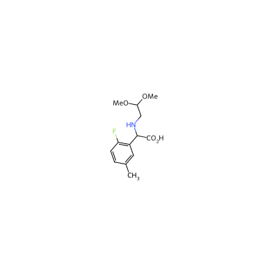 COC(CNC(C(=O)O)c1cc(C)ccc1F)OC